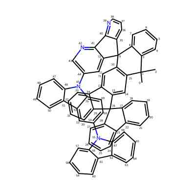 CC1(C)c2ccccc2C2(c3cc4c(cc31)C1(c3ccccc3-c3ccccc31)c1ccccc1-4)c1cccnc1-c1ncc(-n3c4ccccc4c4cc(-n5c6ccccc6c6ccccc65)ccc43)cc12